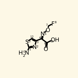 Nc1nc(C(=NOCF)C(=O)O)cs1